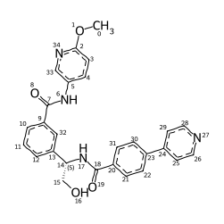 COc1ccc(NC(=O)c2cccc([C@@H](CO)NC(=O)c3ccc(-c4ccncc4)cc3)c2)cn1